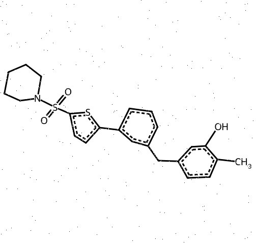 Cc1ccc(Cc2cccc(-c3ccc(S(=O)(=O)N4CCCCC4)s3)c2)cc1O